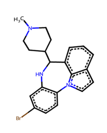 CN1CCC(C2Nc3cc(Br)ccc3-n3ccc4cccc2c43)CC1